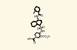 CCCC(=O)N1CC[C@@H](NS(=O)(=O)c2ccc(NC(=O)c3ccccc3C)c3ccccc23)[C@@H](C(=O)O)C1